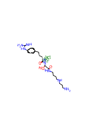 Cl.Cl.Cl.N=C(N)Nc1ccc(CCCC(=O)NC(O)C(=O)NCCCCNCCCN)cc1